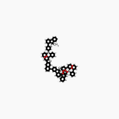 CC1(C)c2ccccc2-c2cccc(-c3ccc(N(c4ccccc4)c4ccccc4-c4cccc5c4oc4cc6c(-c7ccc8c(c7)-c7cccc(-c9ccc(N(c%10ccccc%10-c%10ccccc%10)c%10ccccc%10-c%10cccc%11c%10oc%10cc%12ccccc%12cc%10%11)cc9)c7C8(C)C)cccc6cc45)cc3)c21